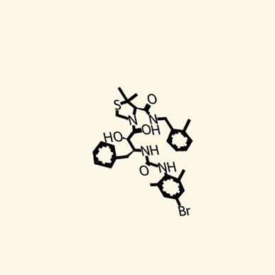 Cc1ccccc1CNC(=O)[C@H]1N(C(=O)[C@@H](O)[C@H](Cc2ccccc2)NC(=O)Nc2c(C)cc(Br)cc2C)CSC1(C)C